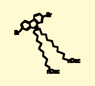 CCCCCCCCCCCCCCCCCCCC[Si]1(CCCCCCCCCCCCCCCCCCCC)c2cc(Br)ccc2-c2ccc(Br)cc21